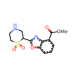 COC(=O)c1cccc2oc(C3CNCCS3(=O)=O)nc12